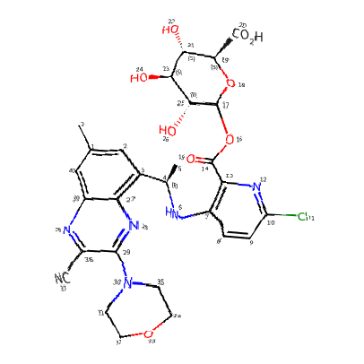 Cc1cc([C@@H](C)Nc2ccc(Cl)nc2C(=O)OC2O[C@H](C(=O)O)[C@@H](O)[C@H](O)[C@H]2O)c2nc(N3CCOCC3)c(C#N)nc2c1